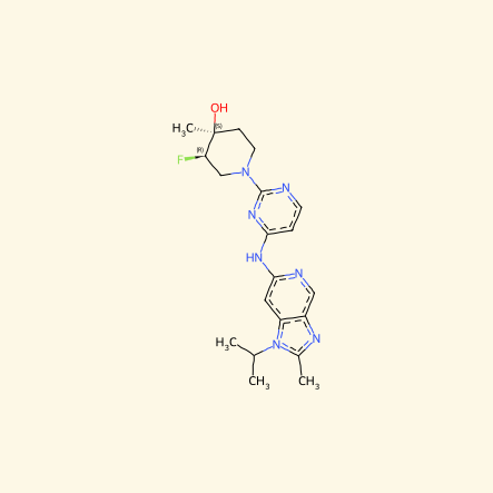 Cc1nc2cnc(Nc3ccnc(N4CC[C@](C)(O)[C@H](F)C4)n3)cc2n1C(C)C